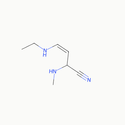 CCN/C=C\C(C#N)NC